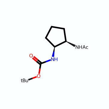 CC(=O)N[C@@H]1CCC[C@@H]1NC(=O)OC(C)(C)C